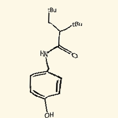 CC(C)(C)CC(C(=O)Nc1ccc(O)cc1)C(C)(C)C